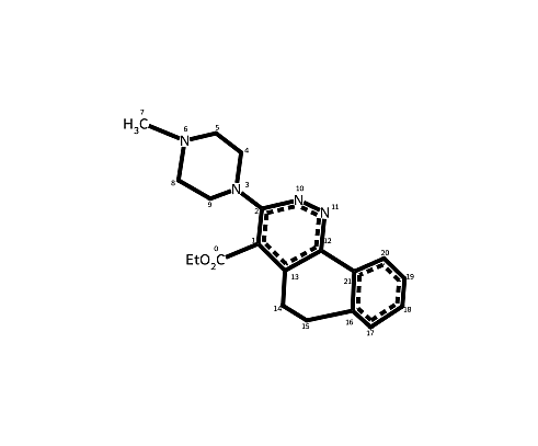 CCOC(=O)c1c(N2CCN(C)CC2)nnc2c1CCc1ccccc1-2